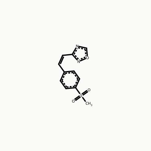 CS(=O)(=O)c1ccc(/C=C\c2ncon2)cc1